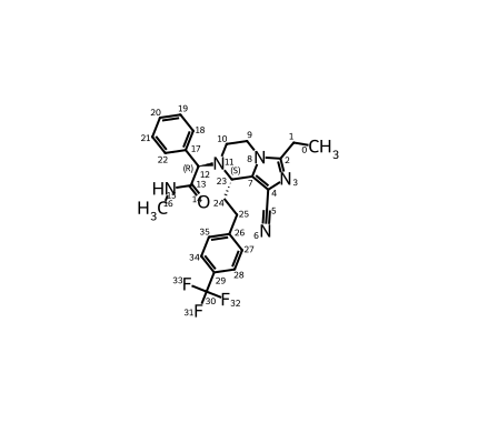 CCc1nc(C#N)c2n1CCN([C@@H](C(=O)NC)c1ccccc1)[C@H]2CCc1ccc(C(F)(F)F)cc1